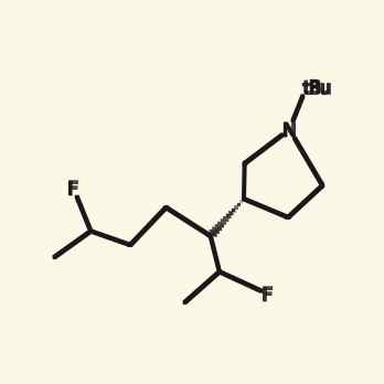 CC(F)CCC(C(C)F)[C@H]1CCN(C(C)(C)C)C1